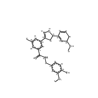 COc1cc(CNC(=O)c2cc(C3=NOC(C4=NC(OC)CC=C4)C3)nc(C)n2)ccc1F